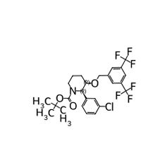 CC(C)(C)OC(=O)N1CCC[C@@H](OCc2cc(C(F)(F)F)cc(C(F)(F)F)c2)[C@H]1c1cccc(Cl)c1